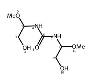 COC(CO)NC(=O)NC(CO)OC